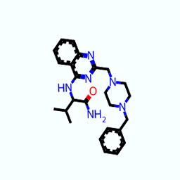 CC(C)C(Nc1nc(CN2CCN(Cc3ccccc3)CC2)nc2ccccc12)C(N)=O